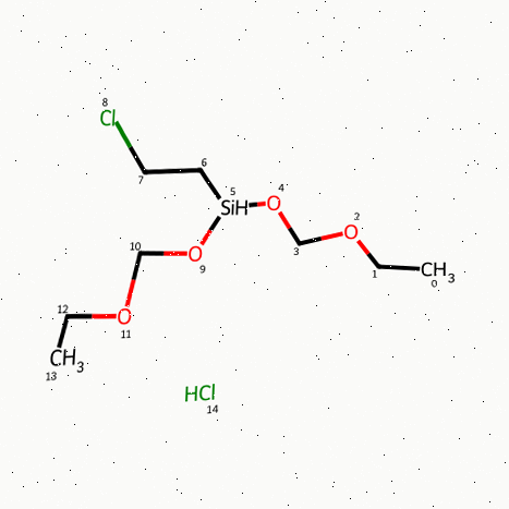 CCOCO[SiH](CCCl)OCOCC.Cl